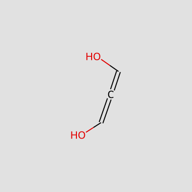 OC=C=CO